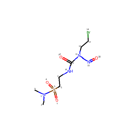 CN(C)S(=O)(=O)CCNC(=O)N(CCBr)N=O